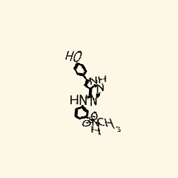 CNS(=O)(=O)c1cccc(Nc2ncnc3[nH]c(-c4ccc(O)cc4)cc23)c1